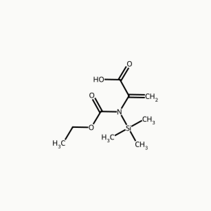 C=C(C(=O)O)N(C(=O)OCC)[Si](C)(C)C